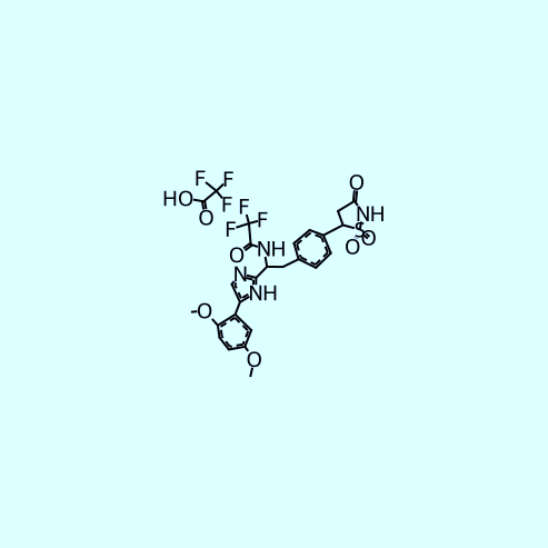 COc1ccc(OC)c(-c2cnc(C(Cc3ccc(C4CC(=O)NS4(=O)=O)cc3)NC(=O)C(F)(F)F)[nH]2)c1.O=C(O)C(F)(F)F